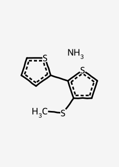 CSc1ccsc1-c1cccs1.N